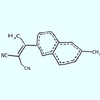 CC(=C(C#N)C#N)c1ccc2cc(C)ccc2c1